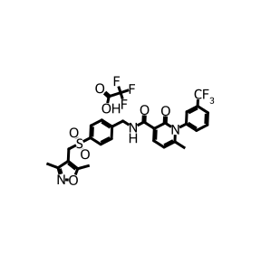 Cc1noc(C)c1CS(=O)(=O)c1ccc(CNC(=O)c2ccc(C)n(-c3cccc(C(F)(F)F)c3)c2=O)cc1.O=C(O)C(F)(F)F